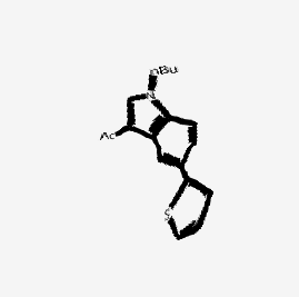 CCCCn1cc(C(C)=O)c2cc(-c3cccs3)ccc21